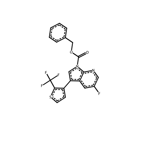 O=C(OCc1ccccc1)n1cc(-c2ccsc2C(F)(F)F)c2cc(F)cnc21